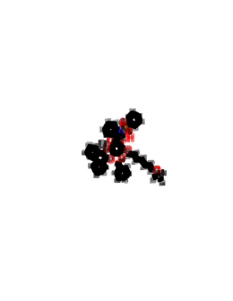 CCOC1(c2cn(S(=O)(=O)c3ccccc3)c3ccccc23)C(O)C(OCCCCCCCO[Si](C)(C)C)C(OCc2ccccc2)C(OCc2ccccc2)C1OCc1ccccc1